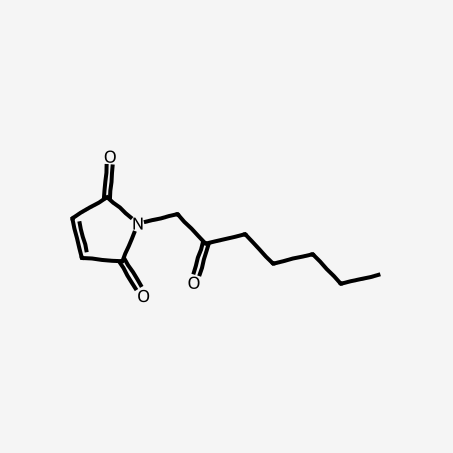 CCCCCC(=O)CN1C(=O)C=CC1=O